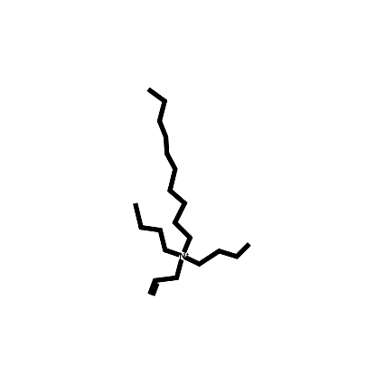 C=CC[N+](CCCC)(CCCC)CCCCCCCCCC